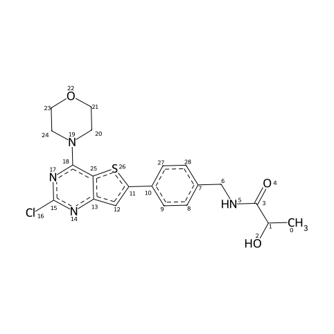 CC(O)C(=O)NCc1ccc(-c2cc3nc(Cl)nc(N4CCOCC4)c3s2)cc1